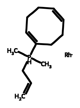 C=CC[PH](C)(C)C1=CCCC=CCC1.[Rh]